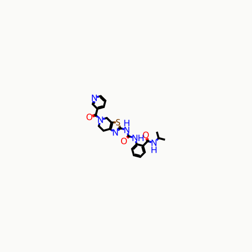 CC(C)NC(=O)c1ccccc1NC(=O)Nc1nc2c(s1)CN(C(=O)c1cccnc1)CC2